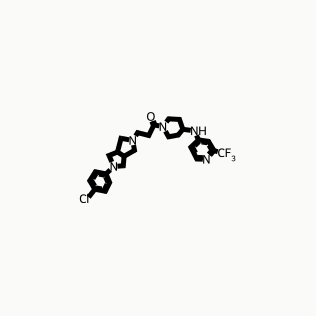 O=C(CCN1CC2CN(c3ccc(Cl)cc3)CC2C1)N1CCC(Nc2ccnc(C(F)(F)F)c2)CC1